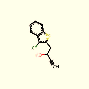 C#CC(O)Cc1sc2ccccc2c1Cl